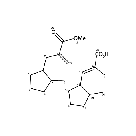 C=C(CC1CCCC1C)C(=O)OC.CC(=CC1CCCC1C)C(=O)O